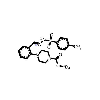 Cc1ccc(S(=O)(=O)N/N=C/c2ccccc2N2CCN(C(=O)OC(C)(C)C)CC2)cc1